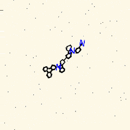 N#Cc1cccc(-n2c3c(c4cc(C5C=c6c(n(-c7ccc8c9ccccc9c9ccccc9c8c7)c7ccccc67)=CC5)ccc42)C=CCC3)c1